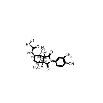 CCNC(=O)N[C@@H]1C[C@@]2(C)O[C@]1(C)[C@@H]1C(=O)N(c3ccc(C#N)c(C(F)(F)F)c3)C(=O)[C@@H]12